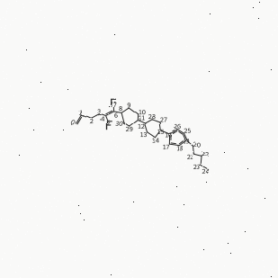 C=CCC/C(F)=C(\F)C1CCC(C2CCC(c3ccc(CCCCC)cc3)CC2)CC1